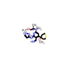 COC[C@@H](C)N(C)c1cc(C2(OC)CCSCC2)c(C=N)c(Nc2cc[nH]n2)n1